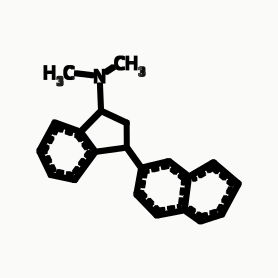 CN(C)C1CC(c2ccc3ccccc3c2)c2ccccc21